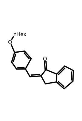 CCCCCCOc1ccc(C=C2Cc3ccccc3C2=O)cc1